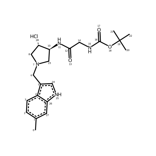 Cc1ccc2c(CN3CC[C@@H](NC(=O)CNC(=O)OC(C)(C)C)C3)c[nH]c2c1.Cl